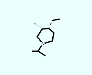 CC[C@@H]1CCN(C(C)C)C[C@@H]1C